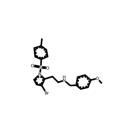 COc1ccc(CNCCc2c(Br)ccn2S(=O)(=O)c2ccc(C)cc2)cc1